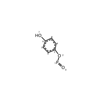 O=POc1ccc(O)cc1